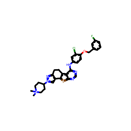 C[N+]1(C)CCC(n2cc3c(n2)CCc2c-3sc3ncnc(Nc4ccc(OCc5cccc(F)c5)c(Cl)c4)c23)CC1